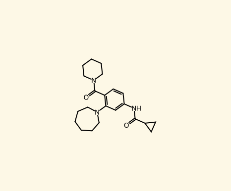 O=C(Nc1ccc(C(=O)N2CCCCC2)c(N2CCCCCC2)c1)C1CC1